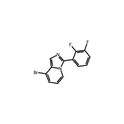 Fc1cccc(-c2ncc3c(Br)cccn23)c1F